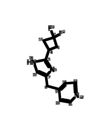 FC1(F)CC(c2nc(Cc3ccncc3)c[nH]2)C1